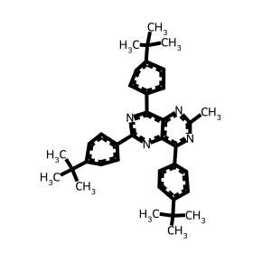 Cc1nc(-c2ccc(C(C)(C)C)cc2)c2nc(-c3ccc(C(C)(C)C)cc3)nc(-c3ccc(C(C)(C)C)cc3)c2n1